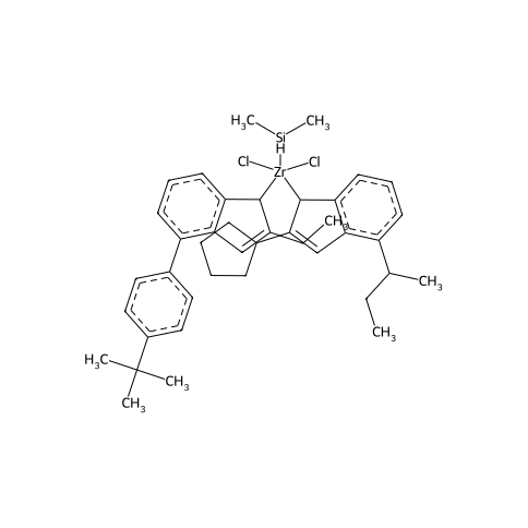 CCC1=Cc2c(-c3ccc(C(C)(C)C)cc3)cccc2[CH]1[Zr]([Cl])([Cl])([CH]1C(C2CCCC2)=Cc2c(C(C)CC)cccc21)[SiH](C)C